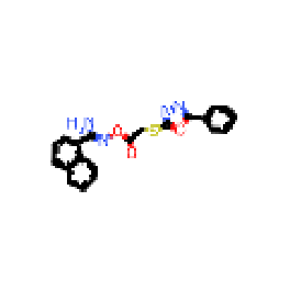 NC(=NOC(=O)CSc1nnc(-c2ccccc2)o1)c1cccc2ccccc12